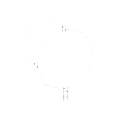 C1CNCN2CCCN(C1)C2